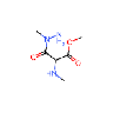 CNC(C(=O)OC)C(=O)N(C)N